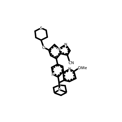 COc1ccc(CN2C3CC2CN(c2ccc(-c4cc(OC5CCSCC5)cn5ncc(C#N)c45)cn2)C3)cn1